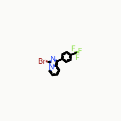 FC(F)(F)c1ccc(-c2nc(Br)n3ccccc23)cc1